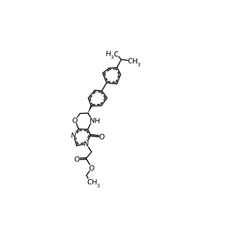 CCOC(=O)Cn1cnc2c(c1=O)N[C@H](c1ccc(-c3ccc(C(C)C)cc3)cc1)CO2